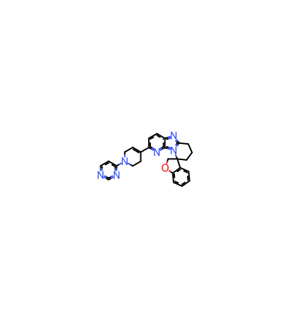 C1=C(c2ccc3nc4n(c3n2)C2(CCC4)COc3ccccc32)CCN(c2ccncn2)C1